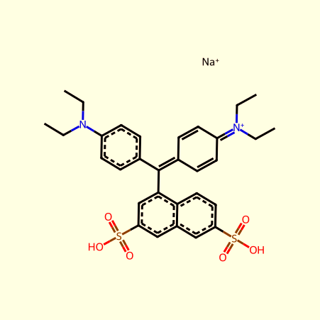 CCN(CC)c1ccc(C(=C2C=CC(=[N+](CC)CC)C=C2)c2cc(S(=O)(=O)O)cc3cc(S(=O)(=O)O)ccc23)cc1.[Na+]